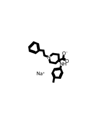 Cc1ccc(NC2(C(=O)[O-])CCN(CCc3ccccc3)CC2)cc1.[Na+]